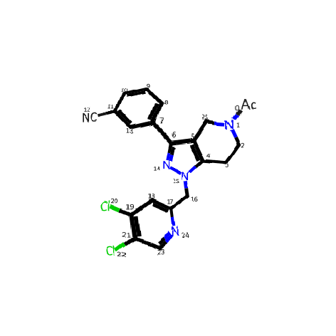 CC(=O)N1CCc2c(c(-c3cccc(C#N)c3)nn2Cc2cc(Cl)c(Cl)cn2)C1